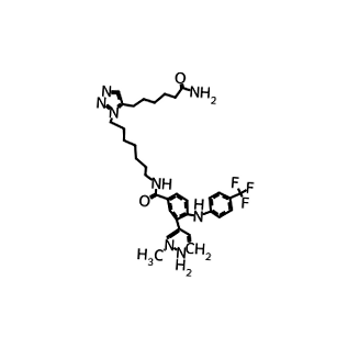 C=C/C(=C\N(C)N)c1cc(C(=O)NCCCCCCCn2nncc2CCCCCC(N)=O)ccc1Nc1ccc(C(F)(F)F)cc1